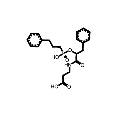 O=C(O)CCNC(=O)C(Cc1ccccc1)OP(=O)(O)CCCc1ccccc1